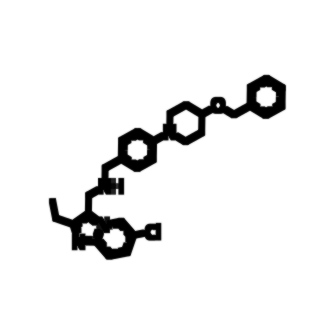 CCc1nc2ccc(Cl)cn2c1CNCc1ccc(N2CCC(OCc3ccccc3)CC2)cc1